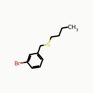 CCCCSCc1cccc(Br)c1